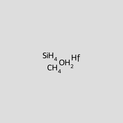 C.O.[Hf].[SiH4]